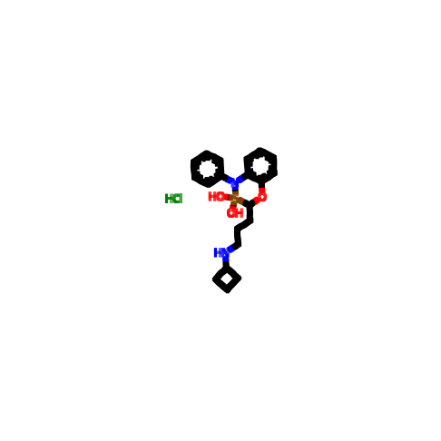 Cl.OS1(O)C(CCCNC2CCC2)Oc2ccccc2N1c1ccccc1